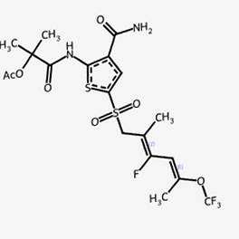 CC(=O)OC(C)(C)C(=O)Nc1sc(S(=O)(=O)C/C(C)=C(F)/C=C(\C)OC(F)(F)F)cc1C(N)=O